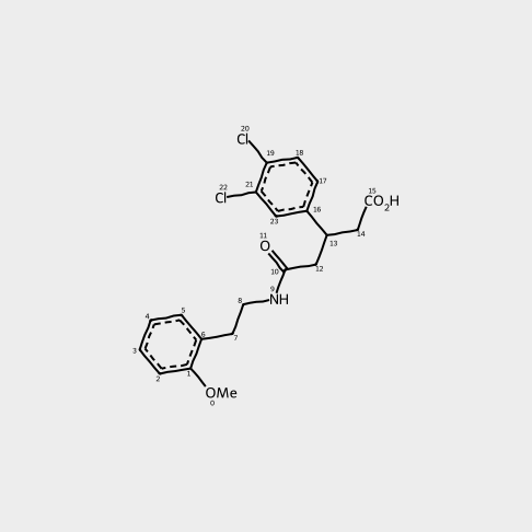 COc1ccccc1CCNC(=O)CC(CC(=O)O)c1ccc(Cl)c(Cl)c1